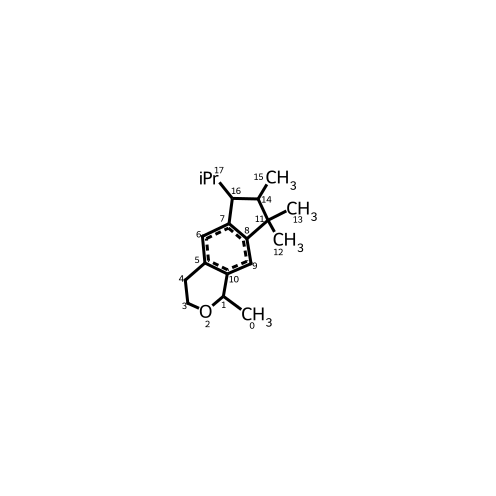 CC1OCCc2cc3c(cc21)C(C)(C)C(C)C3C(C)C